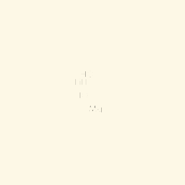 [LiH].[Mg+2].[OH-].[OH-]